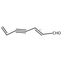 C=CC#C/C=C/C=O